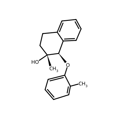 Cc1ccccc1O[C@@H]1c2ccccc2CC[C@@]1(C)O